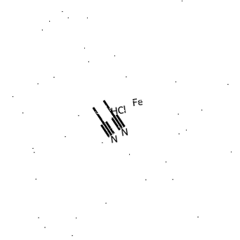 CC#N.CC#N.Cl.[Fe]